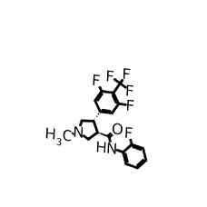 CN1C[C@H](C(=O)Nc2ccccc2F)[C@@H](c2cc(F)c(C(F)(F)F)c(F)c2)C1